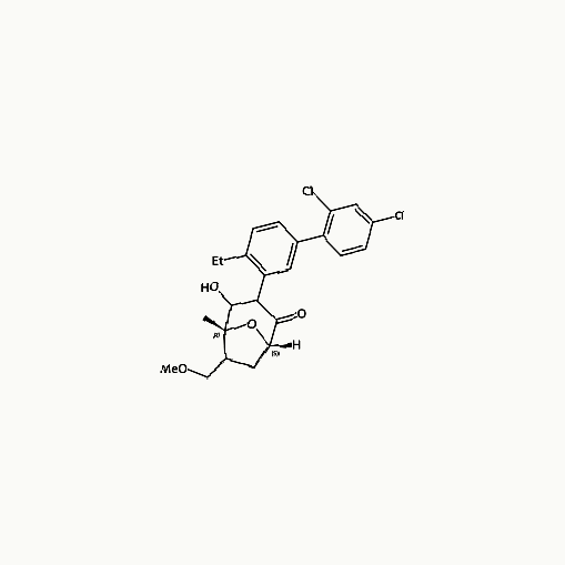 CCc1ccc(-c2ccc(Cl)cc2Cl)cc1C1C(=O)[C@@H]2CC(COC)[C@@](C)(O2)C1O